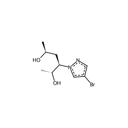 C[C@H](O)C[C@H]([C@@H](C)O)n1cc(Br)cn1